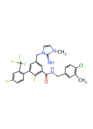 Cc1cc(CNC(=O)c2cc(Cn3ccn(C)c3=N)cc(-c3ccc(F)cc3C(F)(F)F)c2F)ccc1Cl